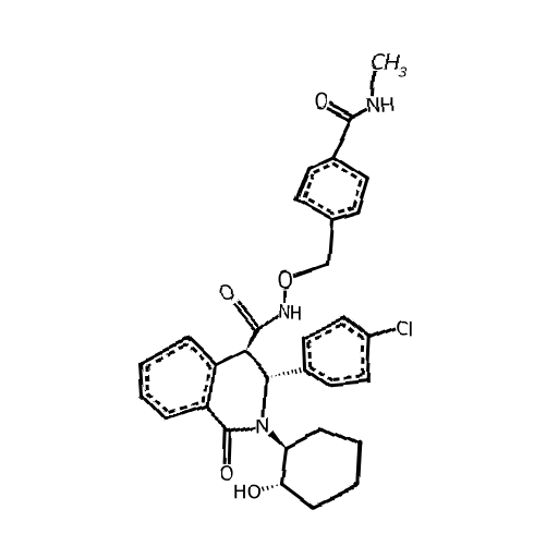 CNC(=O)c1ccc(CONC(=O)[C@@H]2c3ccccc3C(=O)N([C@H]3CCCC[C@@H]3O)[C@H]2c2ccc(Cl)cc2)cc1